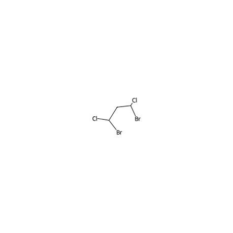 ClC(Br)CC(Cl)Br